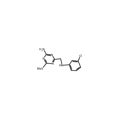 CSc1nc(N)nc(CNc2cccc(Cl)c2)n1